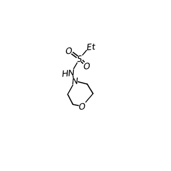 CCS(=O)(=O)NN1CCOCC1